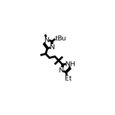 CCc1c[nH]c(C(C)(C)CCC(C)c2cn(C)c(C(C)(C)C)n2)n1